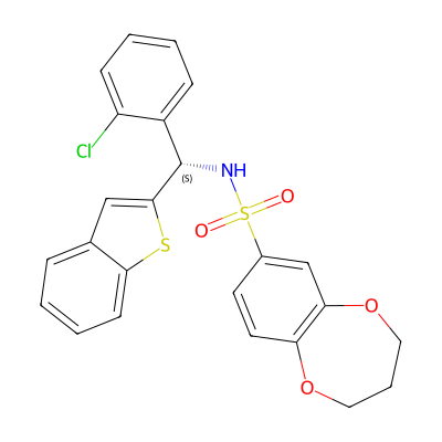 O=S(=O)(N[C@H](c1cc2ccccc2s1)c1ccccc1Cl)c1ccc2c(c1)OCCCO2